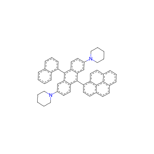 c1ccc2c(-c3c4cc(N5CCCCC5)ccc4c(-c4ccc5ccc6cccc7ccc4c5c67)c4cc(N5CCCCC5)ccc34)cccc2c1